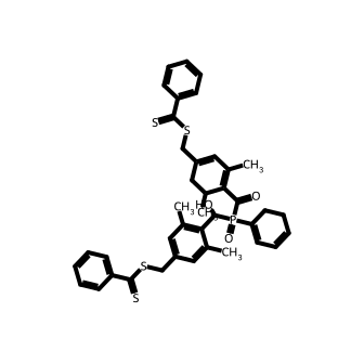 CC1=C(C(=O)P(=O)(C2=CC=CCC2)C(O)c2c(C)cc(CSC(=S)c3ccccc3)cc2C)C(C)CC(CSC(=S)c2ccccc2)=C1